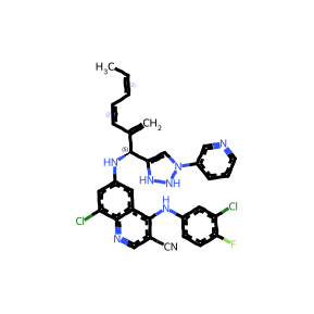 C=C(/C=C\C=C/C)[C@H](Nc1cc(Cl)c2ncc(C#N)c(Nc3ccc(F)c(Cl)c3)c2c1)C1=CN(c2cccnc2)NN1